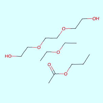 CCCOC(C)=O.CCOCC.OCCOCCOCCO